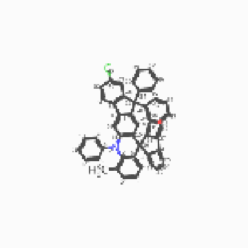 Cc1cccc2c1N(c1ccccc1)c1cc3c(cc1C21c2ccccc2-c2ccccc21)C(c1ccccc1)(c1ccccc1)c1cc(Cl)ccc1-3